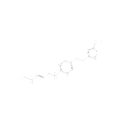 CC(=O)Nc1nc(CCc2ccc(NCC=NNN)cc2)cs1